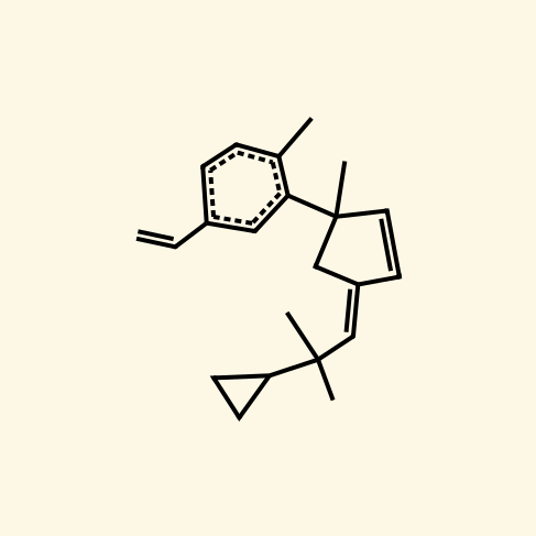 C=Cc1ccc(C)c(C2(C)C=C/C(=C/C(C)(C)C3CC3)C2)c1